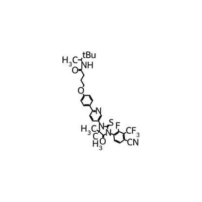 CC(NC(=O)CCCOc1ccc(-c2ccc(N3C(=S)N(c4ccc(C#N)c(C(F)(F)F)c4F)C(=O)C3(C)C)cn2)cc1)C(C)(C)C